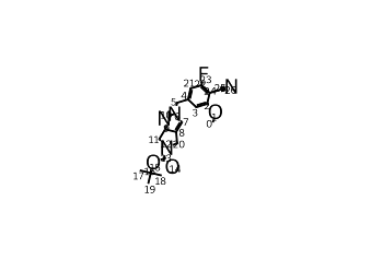 COc1cc(Cn2cc3c(n2)CN(C(=O)OC(C)(C)C)C3)cc(F)c1C#N